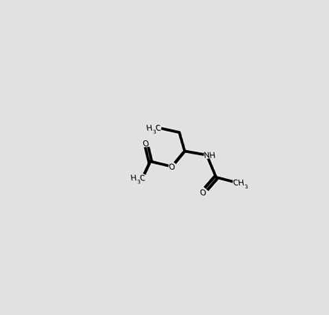 CCC(NC(C)=O)OC(C)=O